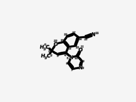 CC1(C)C=C(n2ccncc2=O)c2cc(C#N)ccc2O1